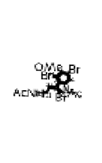 COc1c(Br)cc2c(c1Br)c(CCNC(C)=O)c(Br)n2C(C)=O